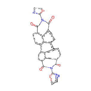 O=C1c2ccc3c4ccc5c6c(ccc(c7ccc(c2c37)C(=O)N1c1ncco1)c64)C(=O)N(c1ncco1)C5=O